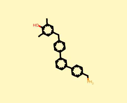 Cc1cc(Cc2ccc(-c3cccc(-c4ccc(CP)cc4)c3)cc2)cc(C)c1O